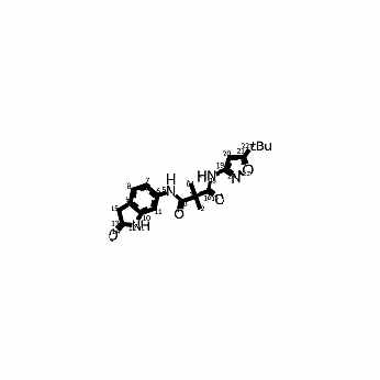 CC(C)(C(=O)Nc1ccc2c(c1)NC(=O)C2)C(=O)Nc1cc(C(C)(C)C)on1